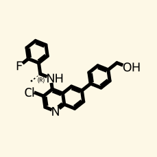 C[C@@H](Nc1c(Cl)cnc2ccc(-c3ccc(CO)cc3)cc12)c1ccccc1F